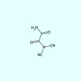 N#CN(C#N)C(=O)C(N)=O